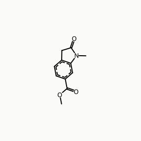 COC(=O)c1ccc2c(c1)N(C)C(=O)C2